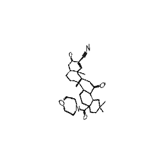 CC1(C)CCC2(C(=O)N3CCOCC3)CCC3C(C(=O)CC4C5(C)C=C(C#N)C(=O)CC5CCC34C)C2C1